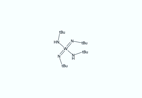 CC(C)(C)[N]=[W](=[N]C(C)(C)C)([NH]C(C)(C)C)[NH]C(C)(C)C